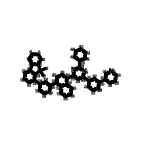 CC1(C)c2ccccc2-c2cccc(-c3cccc(-c4ccc(-c5cc(-c6cccc(-c7cccnc7)c6)nc(-c6ccccc6)n5)c5ccccc45)c3)c21